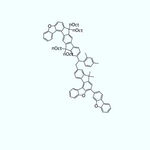 CCCCCCCCC1(CCCCCCCC)c2cc(C(Cc3ccc4c(c3)C(C)(C)c3cc(-c5ccc6c(c5)oc5ccccc56)c5oc6ccccc6c5c3-4)c3ccc(C)cc3C)ccc2-c2cc3c(cc21)-c1c(ccc2oc4ccccc4c12)C3(CCCCCCCC)CCCCCCCC